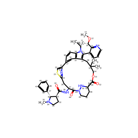 CCn1c(-c2cccnc2[C@H](C)OC)c2c3cc(ccc31)-c1csc(n1)C[C@H](NC(=O)[C@H]1CCN(C)[C@@H]1c1ccccc1)C(=O)N1CCC[C@H](N1)C(=O)OCC(C)(C)C2